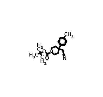 Cc1ccc(C2(CC#N)CCN(C(=O)OC(C)(C)C)CC2)cc1